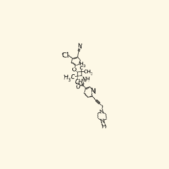 CC1(C)[C@H](NC(=O)c2ccc(C#CCN3CCNCC3)nc2)C(C)(C)[C@H]1Oc1ccc(C#N)c(Cl)c1